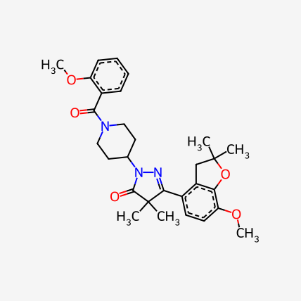 COc1ccccc1C(=O)N1CCC(N2N=C(c3ccc(OC)c4c3CC(C)(C)O4)C(C)(C)C2=O)CC1